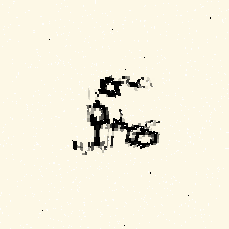 C[C@@H](Nc1cc(Nc2ccc(OCC#N)cc2)ncc1C(N)=O)[C@H]1CC2CCC[C@@](O)(C2)C1